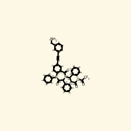 NCc1cccc(C#Cc2ccc3c(c2)C(=O)N(C(CC(=O)OC(=O)C(F)(F)F)c2ccccc2)C(c2ccccc2)C(=O)N3c2ccccc2)c1